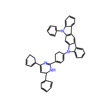 C1=CCCC(C2=CC(c3ccccc3)NC(C3=CC=C(n4c5ccccc5c5cc6c7ccccc7n(-c7ccccc7)c6cc54)CC3)=N2)=C1